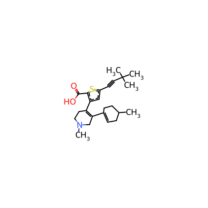 CC1CC=C(C2=C(c3cc(C#CC(C)(C)C)sc3C(=O)O)CCN(C)C2)CC1